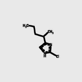 CCCC(C)c1c[nH]c(Cl)n1